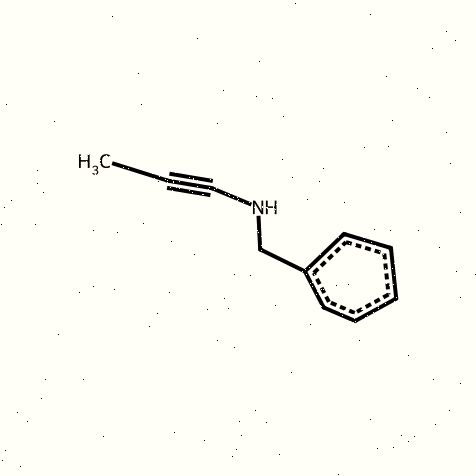 CC#CNCc1ccccc1